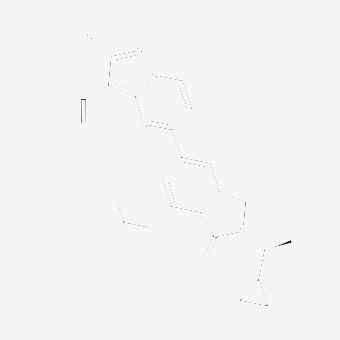 C[C@@H](C1CC1)N1Cc2cc(-c3ccn4nc(N)c(C(=O)O)c4n3)cc(OC(F)F)c2C1=O